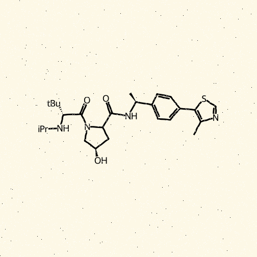 Cc1ncsc1-c1ccc([C@H](C)NC(=O)C2C[C@@H](O)CN2C(=O)[C@H](NC(C)C)C(C)(C)C)cc1